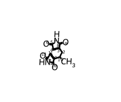 CC(CC1=CC(=O)NC1=O)C1=CC(=O)NC1=O